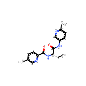 N#CC[C@H](NC(=O)c1ccc([N+](=O)[O-])cn1)C(=O)Nc1ccc(C(=O)O)nc1